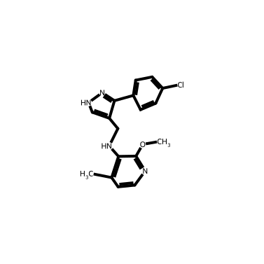 COc1nccc(C)c1NCc1c[nH]nc1-c1ccc(Cl)cc1